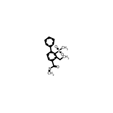 C=NC(=O)c1ccc(-c2ccccc2)c(S(C)(=O)=O)c1CC